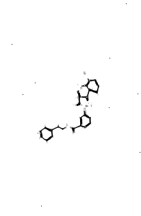 O=C(NCCc1ccccc1)c1cccc(-n2nc3c4cccc(F)c4[nH]cc-3c2=O)c1